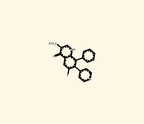 CCOC(=O)c1c[nH]c2c(-c3ccccc3)c(-c3ccncc3)c(F)cc2c1=O